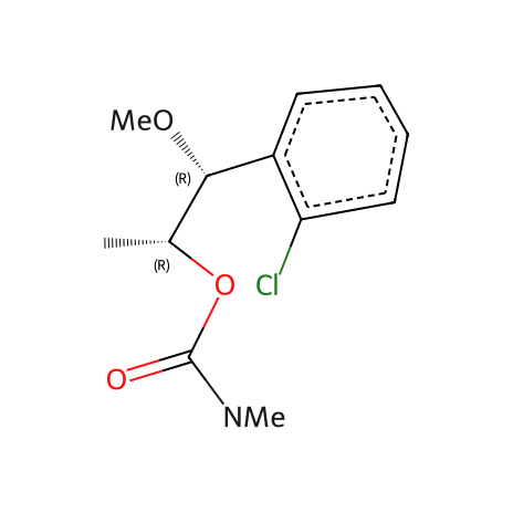 CNC(=O)O[C@H](C)[C@H](OC)c1ccccc1Cl